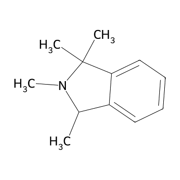 CC1c2ccccc2C(C)(C)N1C